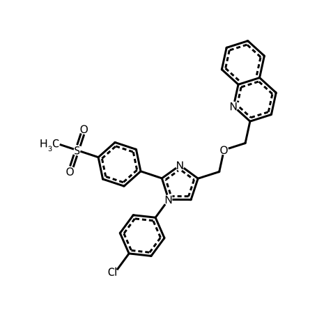 CS(=O)(=O)c1ccc(-c2nc(COCc3ccc4ccccc4n3)cn2-c2ccc(Cl)cc2)cc1